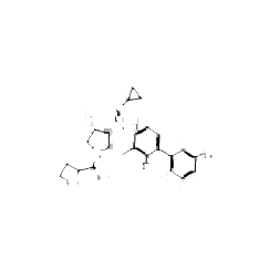 O=C(C1CCO1)N1C[C@H](F)[C@H](NSC2CC2)[C@@H]1Cc1cccc(-c2cccc(Cl)c2)c1F